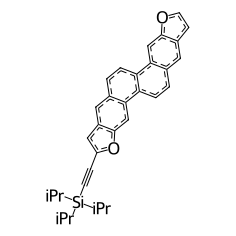 CC(C)[Si](C#Cc1cc2cc3ccc4c5cc6occc6cc5ccc4c3cc2o1)(C(C)C)C(C)C